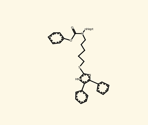 CCCCCCCN(CCCCCSc1nc(-c2ccccc2)c(-c2ccccc2)[nH]1)C(=O)Oc1ccccc1